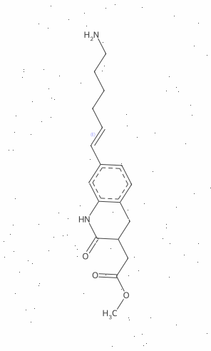 COC(=O)CC1Cc2ccc(/C=C/CCCCN)cc2NC1=O